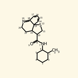 CC1CCCCC1NC(=O)C1CSC23C=CC=CC2=NCCC13